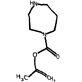 C=C(C)OC(=O)N1CCCNCC1